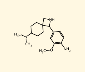 COc1cc(C2NCC23CCC(N(C)C)CC3)ccc1N